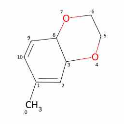 CC1=CC2OCCOC2C=C1